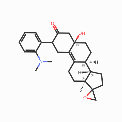 CN(C)c1ccccc1C1CC2=C3CC[C@@]4(C)[C@@H](CCC45CO5)[C@@H]3CC[C@@]2(O)CC1=O